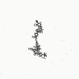 CC(C)c1ncsc1-c1ccc(CNC(=O)[C@@H]2C[C@@H](O)CN2C(=O)[C@@H](NC(=O)COCCCCNc2ccc(C(=O)N[C@H]3C(C)(C)[C@H](Oc4ccc(C#N)c(Cl)c4)C3(C)C)cc2)C(C)(C)C)cc1